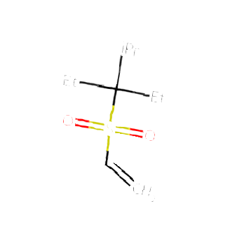 C=CS(=O)(=O)C(CC)(CC)C(C)C